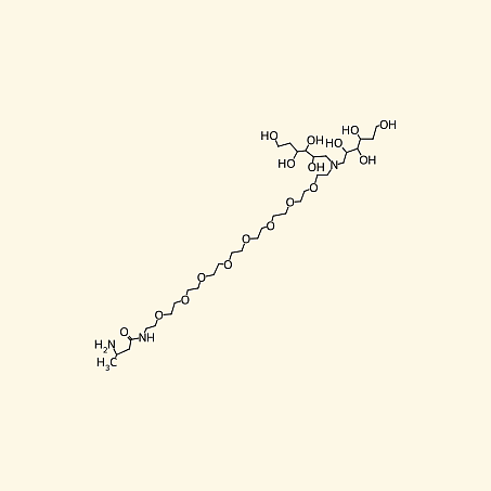 CC(N)CC(=O)NCCOCCOCCOCCOCCOCCOCCOCCOCCN(CC(O)C(O)C(O)CCO)CC(O)C(O)C(O)CCO